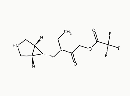 CCN(C[C@@H]1[C@@H]2CNC[C@@H]21)C(=O)COC(=O)C(F)(F)F